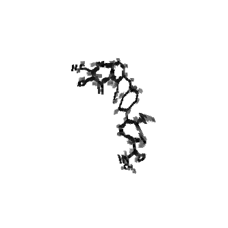 CNC(=O)c1ccc(C2CCN(Cc3ccc4nc(C)c(=O)[nH]c4c3F)CC2)c(F)n1